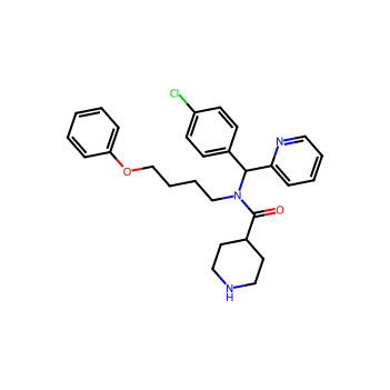 O=C(C1CCNCC1)N(CCCCOc1ccccc1)C(c1ccc(Cl)cc1)c1ccccn1